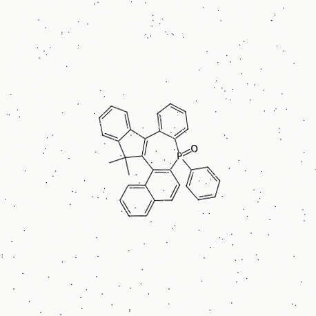 CC1(C)C2=C(c3ccccc31)c1ccccc1P(=O)(c1ccccc1)c1ccc3ccccc3c12